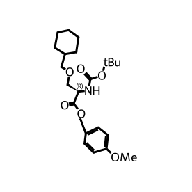 COc1ccc(COC(=O)[C@@H](COCC2CCCCC2)NC(=O)OC(C)(C)C)cc1